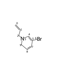 C=CCN1C=C(Br)C=CC1